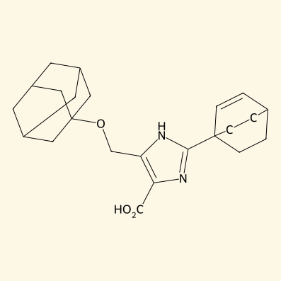 O=C(O)c1nc(C23C=CC(CC2)CC3)[nH]c1COC12CC3CC(CC(C3)C1)C2